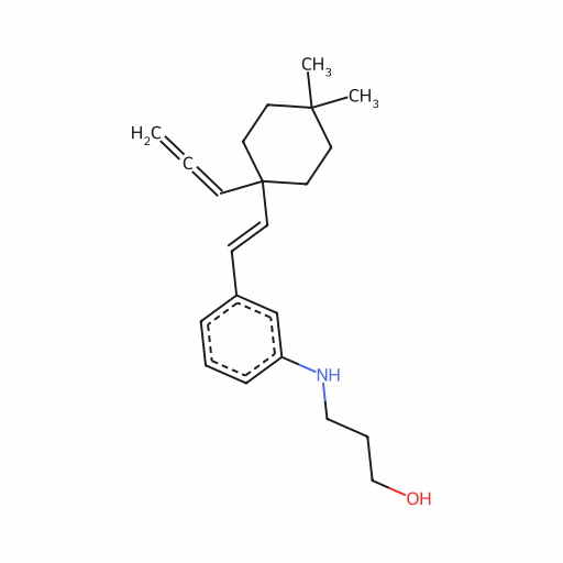 C=C=CC1(C=Cc2cccc(NCCCO)c2)CCC(C)(C)CC1